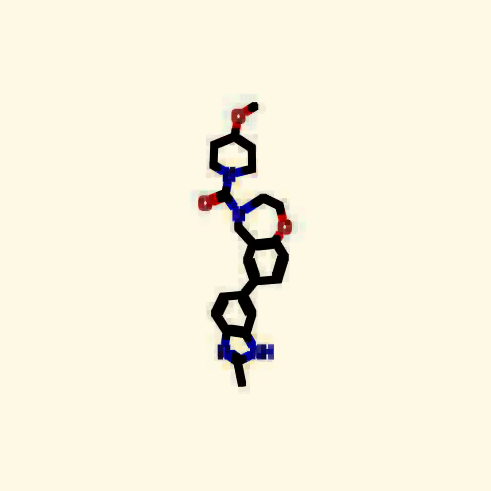 COC1CCN(C(=O)N2CCOc3ccc(-c4ccc5nc(C)[nH]c5c4)cc3C2)CC1